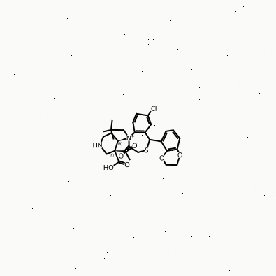 CC(=O)[C@@]1(C(=O)O)CNCC[C@H]1[N+]1(CC(C)(C)C)C(=O)CSC(c2cccc3c2OCCO3)c2cc(Cl)ccc21